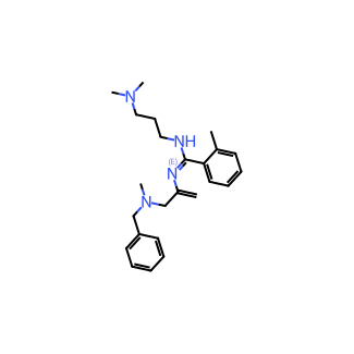 C=C(CN(C)Cc1ccccc1)/N=C(/NCCCN(C)C)c1ccccc1C